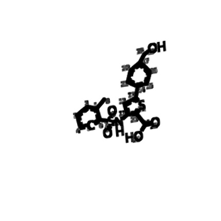 Cc1ccccc1S(=O)(=O)Nc1cc(-c2ccc(CO)cc2)sc1C(=O)O